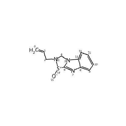 C=CCN1Cn2c(nc3ccccc32)[S+]1[O-]